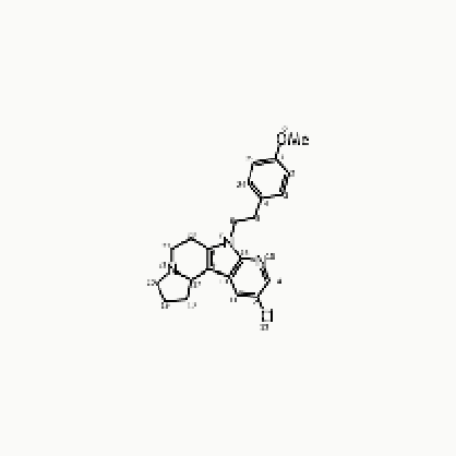 COc1ccc(CCn2c3c(c4cc(Cl)cnc42)C2CCCN2CC3)cc1